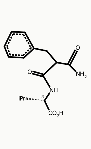 CC(C)[C@H](NC(=O)C(Cc1ccccc1)C(N)=O)C(=O)O